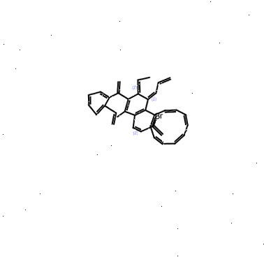 C=C/C=c1/c(-c2ccccccccc2)c(/C=C\C(=C)Br)c(C)c(C(=C)c2ccccc2C=C)/c1=C/C